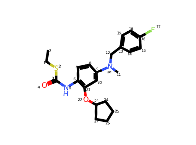 CCSC(=O)Nc1ccc(N(C)Cc2ccc(F)cc2)cc1OC1CCCC1